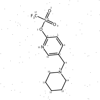 O=S(=O)(Oc1ccc(CN2CCCCC2)cn1)C(F)(F)F